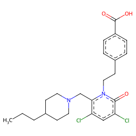 CCCC1CCN(Cc2c(Cl)cc(Cl)c(=O)n2CCc2ccc(C(=O)O)cc2)CC1